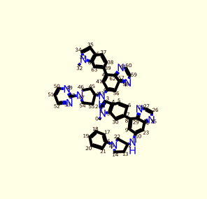 Cn1ccc2ccc(-c3cc(NC4CCN(c5ccccc5)C4)cc4nccnc34)cc21.Cn1ccc2ccc(-c3cc(NC4CCN(c5ncccn5)CC4)cc4nccnc34)cc21